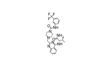 CC(C)[C@H](Nc1nc(CN2CCN(C(=O)Nc3cccc(C(F)(F)F)c3)CC2)nc2ccccc12)C(N)=O